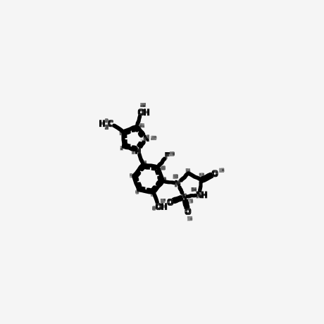 Cc1cn(-c2ccc(O)c(N3CC(=O)NS3(=O)=O)c2F)nc1O